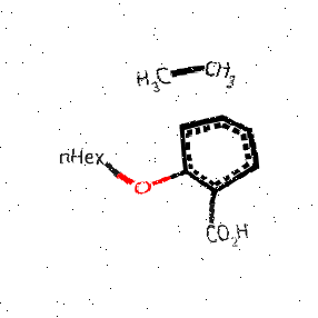 CC.CCCCCCOc1ccccc1C(=O)O